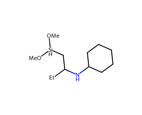 CCC(C[SiH](OC)OC)NC1CCCCC1